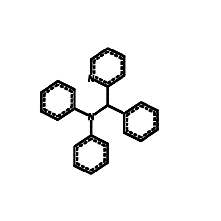 c1ccc(C(c2ccccn2)N(c2ccccc2)c2ccccc2)cc1